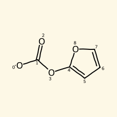 [O]C(=O)Oc1ccco1